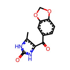 Cc1[nH]c(=O)[nH]c1C(=O)c1ccc2c(c1)OCO2